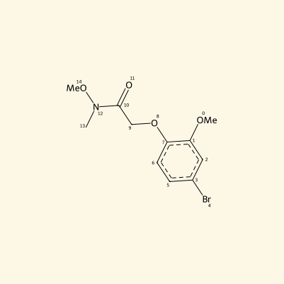 COc1cc(Br)ccc1OCC(=O)N(C)OC